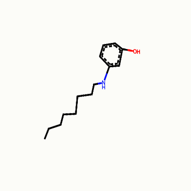 CCCCCCCCNc1cccc(O)c1